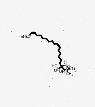 CCCCCC/C=C\CCCCCCC/C=C\CCCCCC(O)(C[N+](C)(C)C)P(=O)(O)O